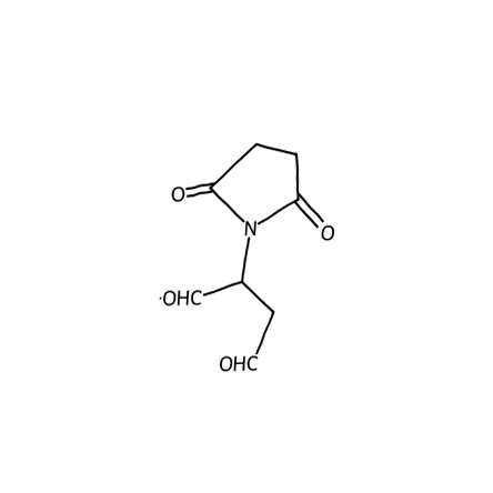 O=[C]C(CC=O)N1C(=O)CCC1=O